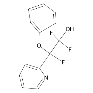 OC(F)(F)C(F)(Oc1ccccc1)c1ccccn1